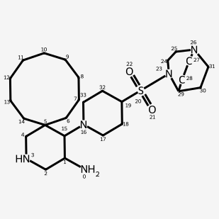 NC1CNCC2(CCCCCCCCC2)C1N1CCC(S(=O)(=O)N2CCN3CCC2CC3)CC1